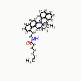 CCCCCCC(=O)NCCc1cccc2ccc3c(c12)C=CCN3c1cccc2cccc(C(C)C)c12